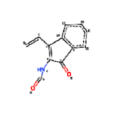 C=CC1=C(NC=O)C(=O)c2ccccc21